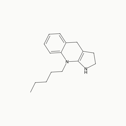 CCCCCN1C2=C(CCN2)Cc2ccccc21